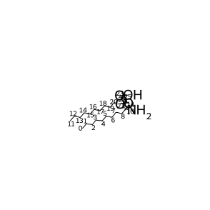 CCCCCCCCCCN.CCCCCCCCCCOS(=O)(=O)O